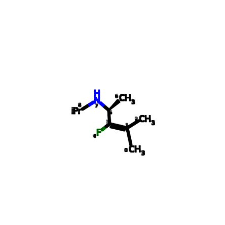 CC(C)=C(F)[C@H](C)NC(C)C